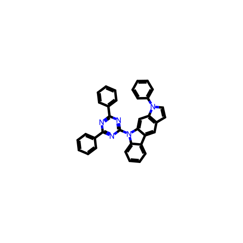 c1ccc(-c2nc(-c3ccccc3)nc(-n3c4ccccc4c4cc5ccn(-c6ccccc6)c5cc43)n2)cc1